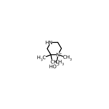 CC1(C)CNCC[N+]1(C)C.[OH-]